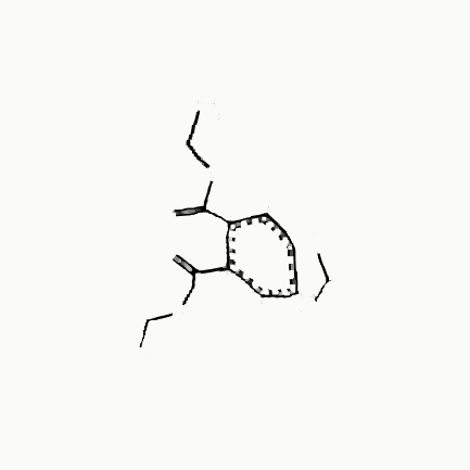 CCOC(=O)c1ccccc1C(=O)OCC.CCP